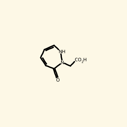 O=C(O)CN1NC=CC=CC1=O